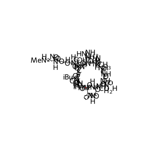 CC[C@H](C)[C@H](C)C(=O)N[C@H]1CSSC[C@@H](C(=O)NC(C(=O)NCCOCCOCC(=O)N[C@@H](CCCCNC)C(N)=O)C(C)O)NC(=O)C(CCCNC(=N)N)NC(=O)C(Cc2cnc[nH]2)NC(=O)[C@H](C)NC(=O)CNC(=O)C(Cc2c[nH]c3ccccc23)NC(=O)C(CC(=O)O)NC(=O)[C@@H]2CCC(=O)Nn3cc(c4ccccc43)C[C@H](NC(=O)C(C(C)C)NC1=O)C(=O)N2